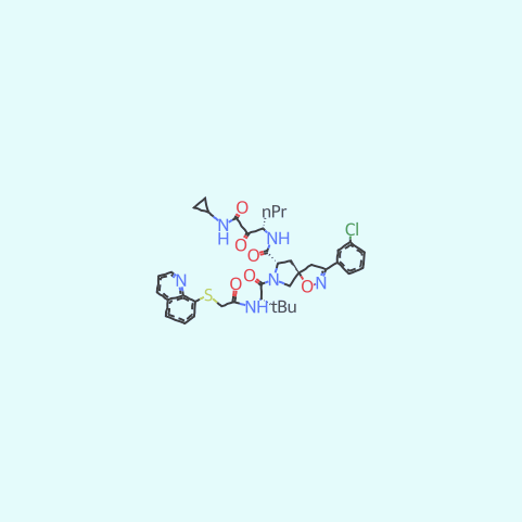 CCC[C@H](NC(=O)[C@@H]1C[C@]2(CC(c3cccc(Cl)c3)=NO2)CN1C(=O)[C@@H](NC(=O)CSc1cccc2cccnc12)C(C)(C)C)C(=O)C(=O)NC1CC1